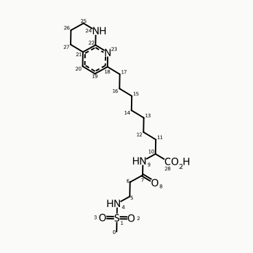 CS(=O)(=O)NCCC(=O)NC(CCCCCCCc1ccc2c(n1)NCCC2)C(=O)O